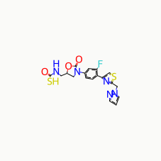 O=C(S)NCC1CN(c2ccc(-c3csc(Cn4cccn4)n3)c(F)c2)C(=O)O1